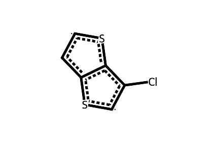 Clc1[c]sc2c[c]sc12